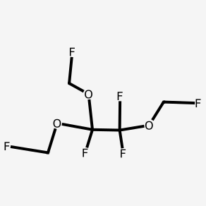 FCOC(F)(F)C(F)(OCF)OCF